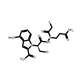 COc1cccc2c1cc(C(N)=O)n2[C@H](CC(C)C)C(=O)NN(CCC(N)=O)C(=O)CF